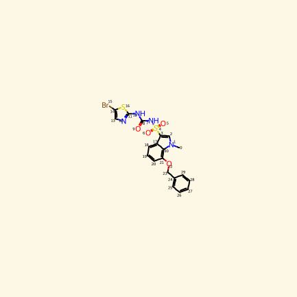 Cn1cc(S(=O)(=O)NC(=O)Nc2ncc(Br)s2)c2cccc(OCc3ccccc3)c21